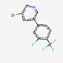 Fc1cc(-c2cncc(Br)c2)ccc1C(F)(F)F